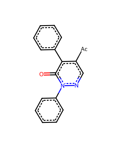 CC(=O)c1cnn(-c2ccccc2)c(=O)c1-c1ccccc1